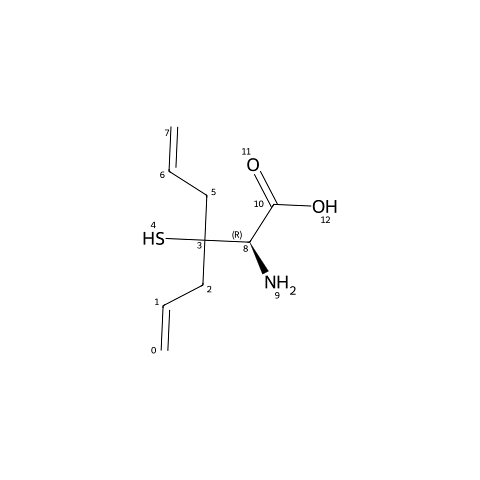 C=CCC(S)(CC=C)[C@H](N)C(=O)O